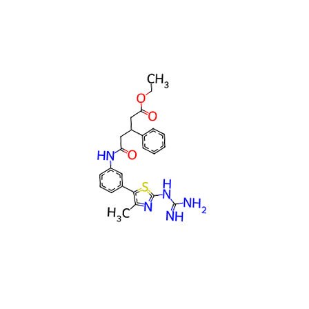 CCOC(=O)CC(CC(=O)Nc1cccc(-c2sc(NC(=N)N)nc2C)c1)c1ccccc1